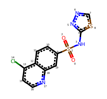 O=S(=O)(Nc1nncs1)c1ccc2c(Cl)ccnc2c1